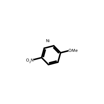 COc1ccc([N+](=O)[O-])cc1.[Ni]